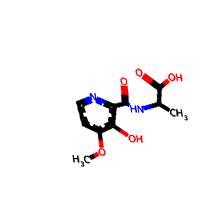 COc1ccnc(C(=O)NC(C)C(=O)O)c1O